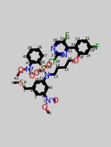 CO[N+](=O)c1cc(CSC)cc(N(CCCCOc2cc(F)ccc2-c2nc(Cl)ncc2F)S(=O)(=O)c2ccccc2[N+](=O)OC)c1